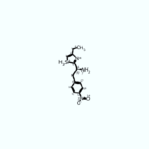 CCC1=C[SiH2]C([C@@H](N)Cc2ccc([N+](=O)[O-])cc2)=N1